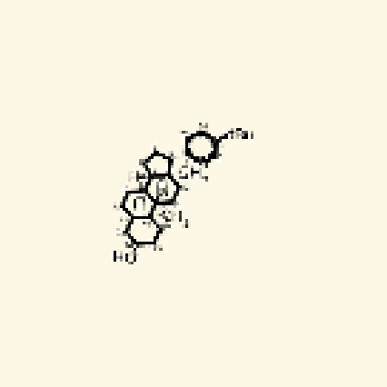 CC(C)(C)c1ccc([C@H]2CC[C@H]3[C@@H]4CCC5C[C@@H](O)CC[C@]5(C)[C@H]4CC[C@]23C)cc1